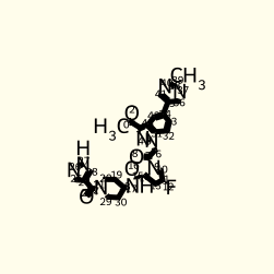 CC(=O)c1nn(CC(=O)N2C[C@H](F)C[C@H]2C(=O)NC2CCN(C(=O)c3cn[nH]c3)CC2)c2ccc(-c3cnc(C)nc3)cc12